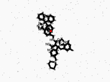 Cc1cc(C)cc(CC(C(C(=O)NCc2ccc(-c3nnnn3C(c3ccccc3)(c3ccccc3)c3ccccc3Cl)cc2)=C(C#N)C#N)(c2cccc(CN3CCCCC3)c2)N2CCNC2)c1